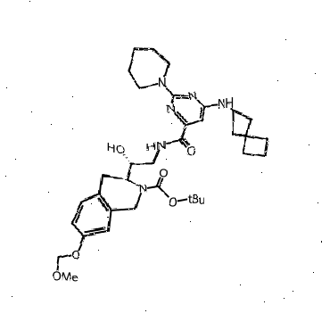 COCOc1ccc2c(c1)CN(C(=O)OC(C)(C)C)[C@H]([C@H](O)CNC(=O)c1cc(NC3CC4(CCC4)C3)nc(N3CCCCC3)n1)C2